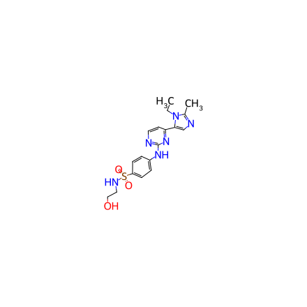 CCn1c(-c2ccnc(Nc3ccc(S(=O)(=O)NCCO)cc3)n2)cnc1C